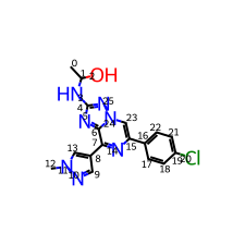 CC(O)Nc1nc2c(-c3cnn(C)c3)nc(-c3ccc(Cl)cc3)cn2n1